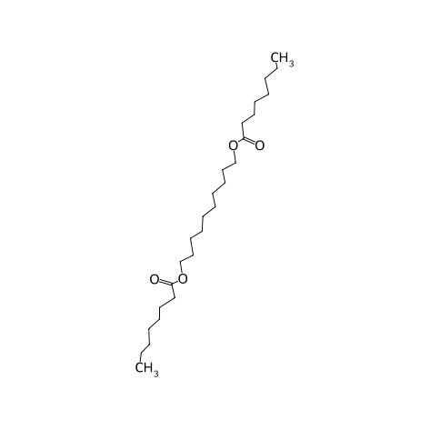 CCCCCCCC(=O)OCCCCCCCCCCOC(=O)CCCCCCC